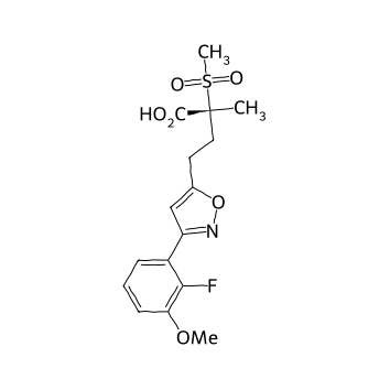 COc1cccc(-c2cc(CC[C@](C)(C(=O)O)S(C)(=O)=O)on2)c1F